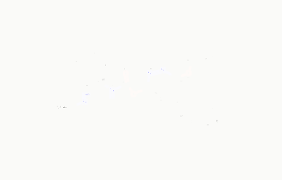 CO/N=C1\CCCC[C@@H]1NC(=O)Oc1cc(-c2ccc(Cl)c(Cl)c2)c(OCC(F)(F)F)nn1